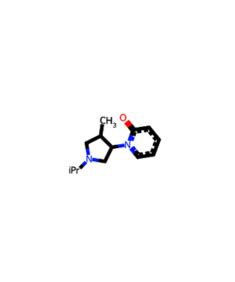 CC1CN(C(C)C)CC1n1ccccc1=O